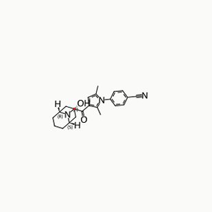 Cc1cc(C(=O)CN2[C@@H]3CCC[C@H]2C[C@@H](O)C3)c(C)n1-c1ccc(C#N)cc1